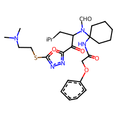 CC(C)CC(C(=O)c1nnc(SCCN(C)C)o1)N(C=O)C1(NC(=O)COc2ccccc2)CCCCC1